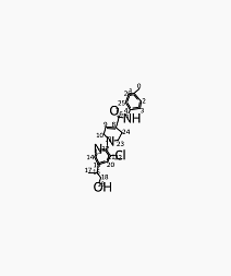 Cc1ccc(NC(=O)C2=CCN(c3ncc(C(C)CO)cc3Cl)CC2)cc1